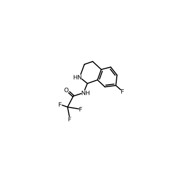 O=C(NC1NCCc2ccc(F)cc21)C(F)(F)F